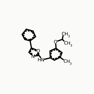 Cc1cc(Nc2ncc(-c3ccccc3)o2)cc(OC(C)C)c1